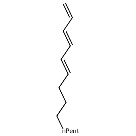 C=CC=CC=CCCCCCCCC